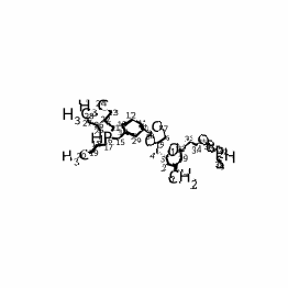 C=C1C[C@H](C[C@@H]2CCO[C@H](c3cccc(C[PH](CCCC)(CCCC)CCCC)c3)O2)O[C@@H](CCOB=[PH]=S)C1